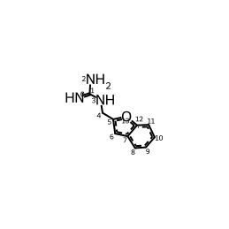 N=C(N)NCc1cc2ccccc2o1